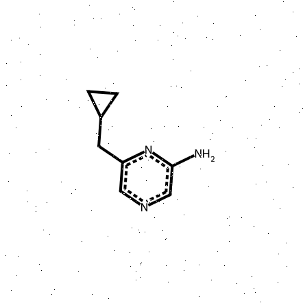 Nc1cncc(CC2CC2)n1